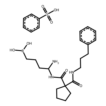 NC(CCCB(O)O)NC(=O)C1(C(=O)NCCCc2ccccc2)CCCC1.O=S(=O)(O)c1ccccc1